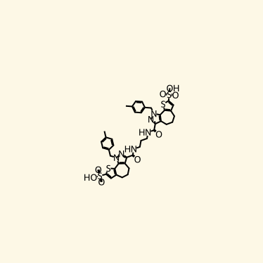 Cc1ccc(Cn2nc(C(=O)NCCCNC(=O)c3nn(Cc4ccc(C)cc4)c4c3CCCc3cc(S(=O)(=O)O)sc3-4)c3c2-c2sc(S(=O)(=O)O)cc2CCC3)cc1